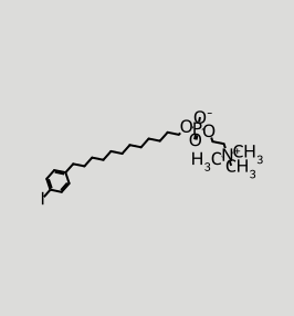 C[N+](C)(C)CCOP(=O)([O-])OCCCCCCCCCCCCc1ccc(I)cc1